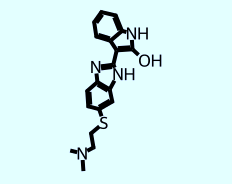 CN(C)CCSc1ccc2nc(-c3c(O)[nH]c4ccccc34)[nH]c2c1